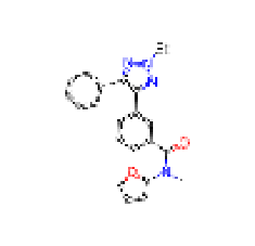 CCn1nc(-c2ccccc2)c(-c2cccc(C(=O)N(C)c3ccco3)c2)n1